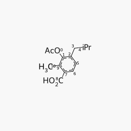 CC(=O)Oc1c(CC(C)C)ccc(C(=O)O)c1C